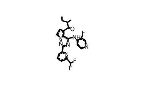 CCC(C)C(=O)c1ccn2nc(-c3cccc(C(F)F)n3)nc(Nc3ccncc3F)c12